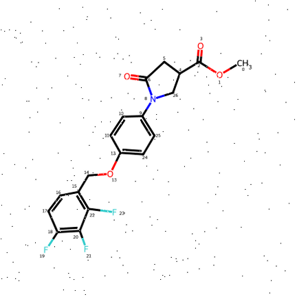 COC(=O)C1CC(=O)N(c2ccc(OCc3ccc(F)c(F)c3F)cc2)C1